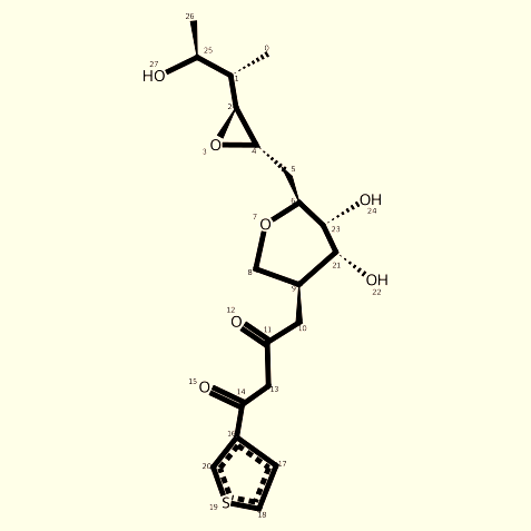 C[C@H]([C@@H]1O[C@H]1C[C@@H]1OC[C@H](CC(=O)CC(=O)c2ccsc2)[C@@H](O)[C@H]1O)[C@H](C)O